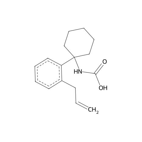 C=CCc1ccccc1C1(NC(=O)O)CCCCC1